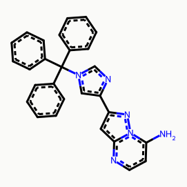 Nc1ccnc2cc(-c3cn(C(c4ccccc4)(c4ccccc4)c4ccccc4)cn3)nn12